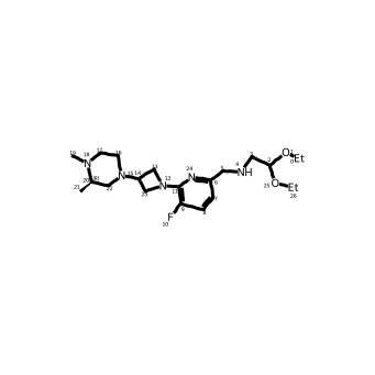 CCOC(CNCc1ccc(F)c(N2CC(N3CCN(C)[C@H](C)C3)C2)n1)OCC